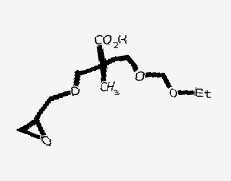 CCOCOCC(C)(COCC1CO1)C(=O)O